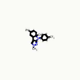 CC(C)C1=CCC2(C)C(=C1)c1cn(C)nc1N2c1ccc(C(F)(F)F)cc1